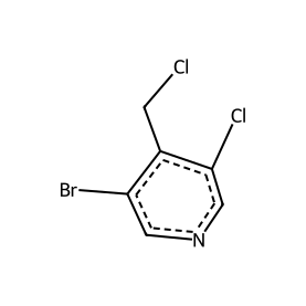 ClCc1c(Cl)cncc1Br